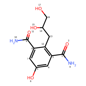 NC(=O)c1cc(O)cc(C(N)=O)c1CC(O)CO